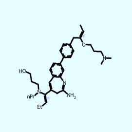 C/C=C(\Cc1ccc(-c2ccc3c(c2)N=C(N)CC(/C(=C/CC)N(CCC)CCCO)=C3)cc1)OCCCN(C)C